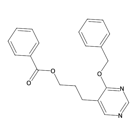 O=C(OCCCc1cncnc1OCc1ccccc1)c1ccccc1